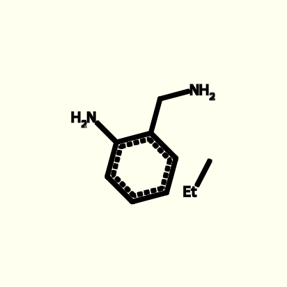 CCC.NCc1ccccc1N